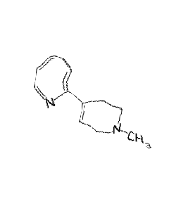 CN1CC=C(c2ccccn2)CC1